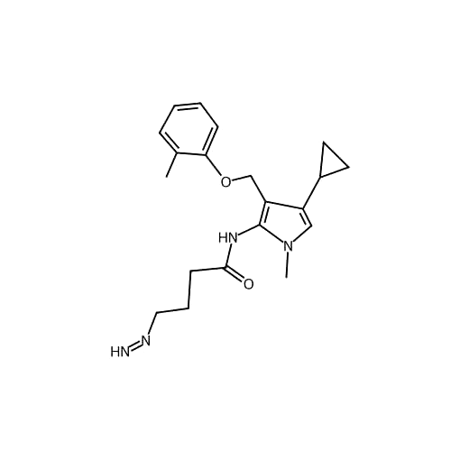 Cc1ccccc1OCc1c(C2CC2)cn(C)c1NC(=O)CCCN=N